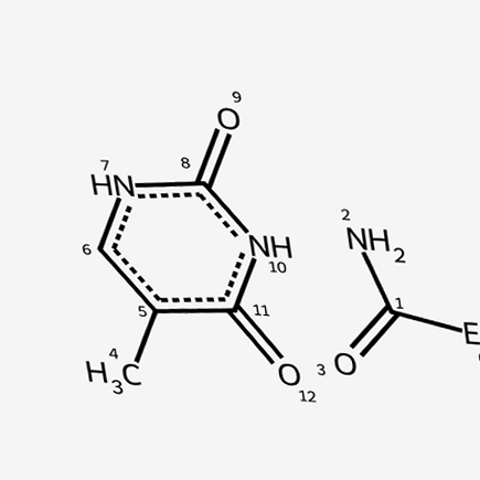 CCC(N)=O.Cc1c[nH]c(=O)[nH]c1=O